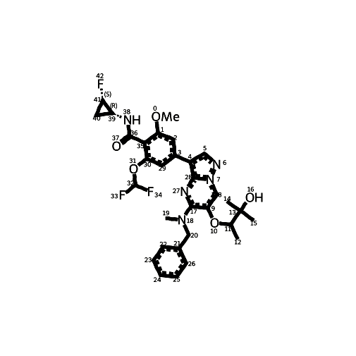 COc1cc(-c2cnn3cc(OC(C)C(C)(C)O)c(N(C)Cc4ccccc4)nc23)cc(OC(F)F)c1C(=O)N[C@@H]1C[C@@H]1F